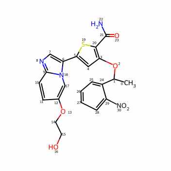 CC(Oc1cc(-c2cnc3ccc(OCCO)cn23)sc1C(N)=O)c1ccccc1[N+](=O)[O-]